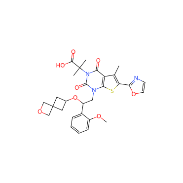 COc1ccccc1C(Cn1c(=O)n(C(C)(C)C(=O)O)c(=O)c2c(C)c(-c3ncco3)sc21)OC1CC2(COC2)C1